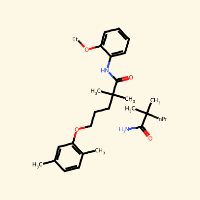 CCCC(C)(C)C(N)=O.CCOc1ccccc1NC(=O)C(C)(C)CCCOc1cc(C)ccc1C